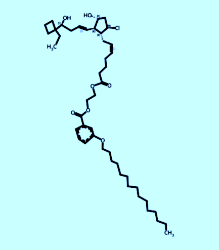 CCCCCCCCCCCCCCCOc1cccc(C(=O)OCCOC(=O)CCC/C=C\C[C@@H]2[C@@H](/C=C/C[C@H](O)C3(CC)CCC3)[C@H](O)C[C@H]2Cl)c1